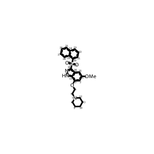 COc1cc(OCCN2CCCCC2)c2[nH]nc(S(=O)(=O)c3cccc4ccccc34)c2c1